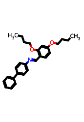 CCCCOc1ccc(/C=N/c2ccc(-c3ccccc3)cc2)c(OCCCC)c1